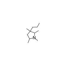 CCCC1(C)CC(C)N(C)C1C